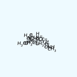 CNC(=O)CN1CCC(c2ccc3[nH]c(-c4cc(C)c(=O)n(CCOC)c4)c(C(C)C)c3c2)CC1